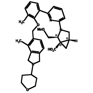 COC[C@H]1N(c2cccc(-c3cccc(C)c3OCc3ccc4c(c3C)CN(C3CCOCC3)C4)n2)C[C@@H]2C[C@@]21C(=O)O